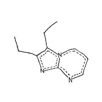 CCc1nc2ncccn2c1CC